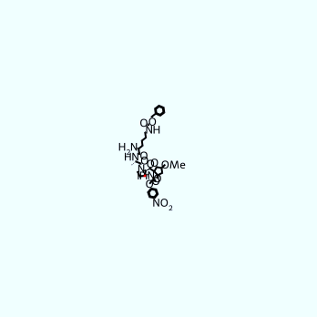 COC1CC(=O)C(C(=O)[C@H]2CCCN2C(=O)[C@H](C)NC(=O)[C@@H](N)CCCCNC(=O)OCc2ccccc2)(N(C(=O)Oc2ccc([N+](=O)[O-])cc2)C(C)C)C1=O